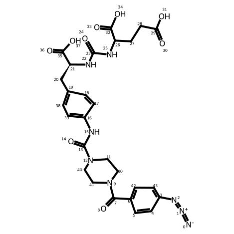 [N-]=[N+]=Nc1ccc(C(=O)N2CCN(C(=O)Nc3ccc(C[C@H](NC(=O)NC(CCC(=O)O)C(=O)O)C(=O)O)cc3)CC2)cc1